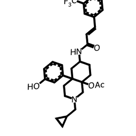 CC(=O)OC12CCC(NC(=O)/C=C/c3cccc(C(F)(F)F)c3)CC1(c1cccc(O)c1)CCN(CC1CC1)C2